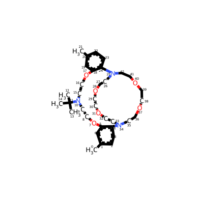 Cc1ccc2c(c1)OCCN(C(C)(C)C)CCOc1cc(C)ccc1N1CCOCCOCCN2CCOCCOCC1